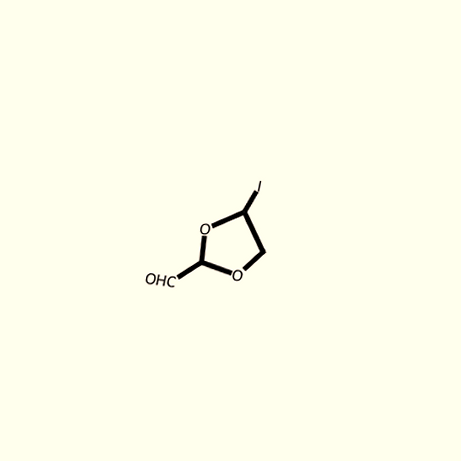 O=CC1OCC(I)O1